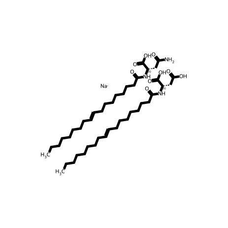 CCCCCCCCC=CCCCCCCCC(=O)N[C@@H](CC(=O)O)C(=O)O.CCCCCCCCC=CCCCCCCCC(=O)N[C@@H](CC(N)=O)C(=O)O.[Na]